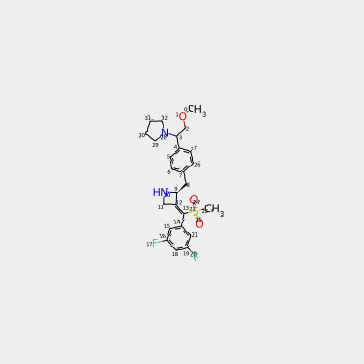 COCC(c1ccc(C[C@@H]2NCC2=C(c2cc(F)cc(F)c2)S(C)(=O)=O)cc1)N1CCCC1